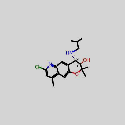 Cc1cc(Cl)nc2cc3c(cc12)OC(C)(C)[C@H](O)[C@H]3NCC(C)C